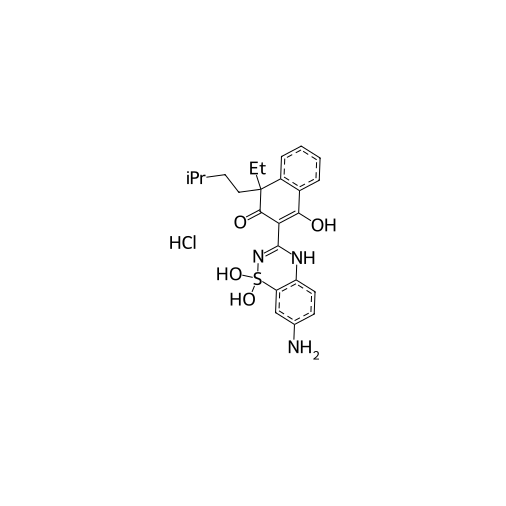 CCC1(CCC(C)C)C(=O)C(C2=NS(O)(O)c3cc(N)ccc3N2)=C(O)c2ccccc21.Cl